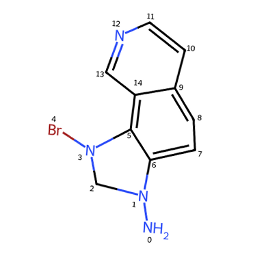 NN1CN(Br)c2c1ccc1ccncc21